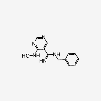 N=C(NCc1ccccc1)c1cncnc1NO